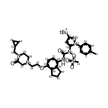 Cc1ccc(-n2nc(C(C)(C)C)cc2N(OS(C)(=O)=O)C(=O)Nc2ccc(OCCN3CCN(CC4CC4)C(=O)C3)c3c2CCC3)cc1